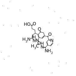 CON1NC(N)=CC(CCC(=O)O)C2=C1C=C(C(=O)c1cc(C(=N)N)ccn1)CC2=O